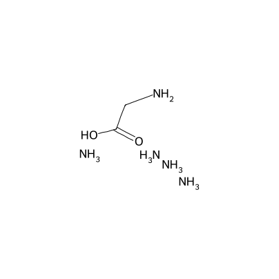 N.N.N.N.NCC(=O)O